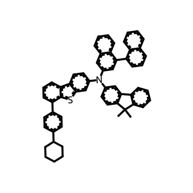 CC1(C)c2ccccc2-c2cc(N(c3cc(-c4cccc5ccccc45)c4ccccc4c3)c3ccc4c(c3)sc3c(-c5ccc(C6CCCCC6)cc5)cccc34)ccc21